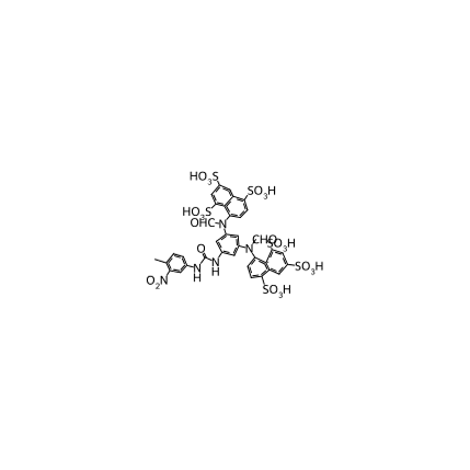 Cc1ccc(NC(=O)Nc2cc(N(C=O)c3ccc(S(=O)(=O)O)c4cc(S(=O)(=O)O)cc(S(=O)(=O)O)c34)cc(N(C=O)c3ccc(S(=O)(=O)O)c4cc(S(=O)(=O)O)cc(S(=O)(=O)O)c34)c2)cc1[N+](=O)[O-]